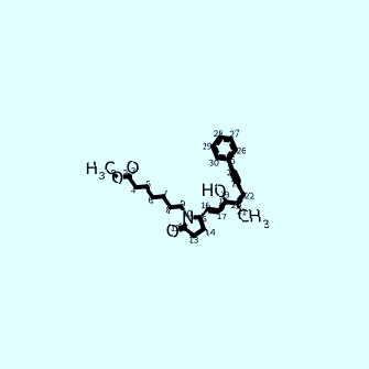 COC(=O)CCCCCCN1C(=O)CC[C@@H]1/C=C/[C@@H](O)[C@H](C)CC#Cc1ccccc1